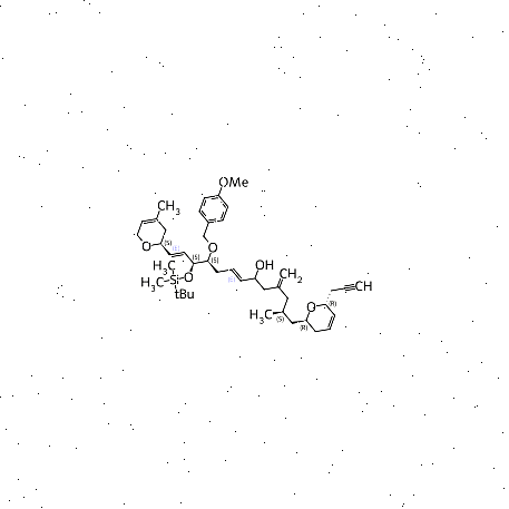 C#CC[C@@H]1C=CC[C@@H](C[C@@H](C)CC(=C)CC(O)/C=C/C[C@H](OCc2ccc(OC)cc2)[C@H](/C=C/[C@@H]2CC(C)=CCO2)O[Si](C)(C)C(C)(C)C)O1